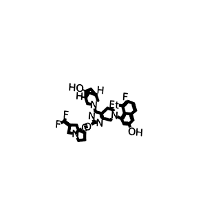 CCc1c(F)ccc2cc(O)cc(N3CCc4c(nc(OCC56CCCN5CC(=C(F)F)C6)nc4N4C[C@@H]5C[C@H](C4)[C@H](O)C5)C3)c12